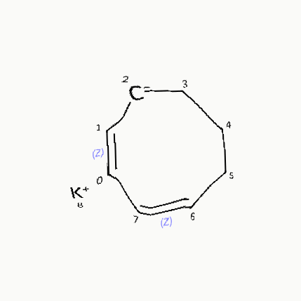 C1=C\[CH-]CCC\C=C/1.[K+]